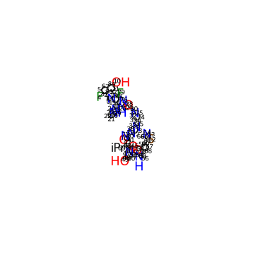 C#Cc1c(F)ccc2cc(O)cc(-c3ncc4c(N5CC6CCC(C5)N6)nc(OCCN5CCC(CN6CCN(c7cc([C@H](C(=O)N8C[C@H](O)C[C@H]8C(=O)N[C@@H](C)c8ccc(-c9scnc9C)cc8)C(C)C)on7)CC6)CC5)nc4c3F)c12